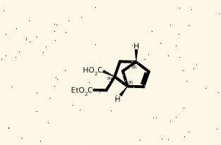 CCOC(=O)C[C@]1(C(=O)O)C[C@@H]2C=C[C@H]1C2